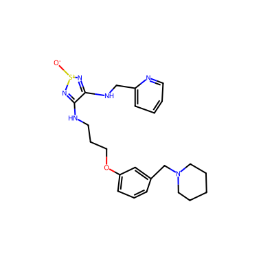 [O-][s+]1nc(NCCCOc2cccc(CN3CCCCC3)c2)c(NCc2ccccn2)n1